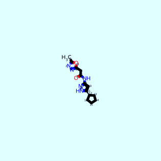 Cc1nnc(CC(=O)Nc2cc([C@H]3C[CH]CC3)[nH]n2)o1